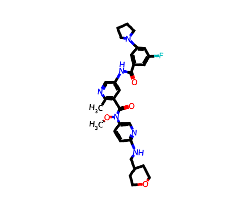 CON(C(=O)c1cc(NC(=O)c2cc(F)cc(N3CCCC3)c2)cnc1C)c1ccc(NCC2CCOCC2)nc1